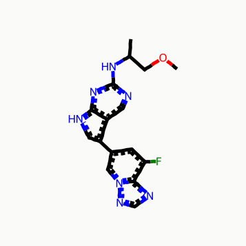 COCC(C)Nc1ncc2c(-c3cc(F)c4ncnn4c3)c[nH]c2n1